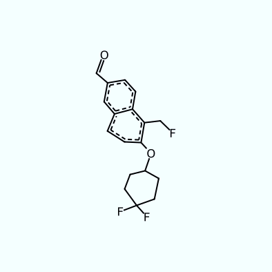 O=Cc1ccc2c(CF)c(OC3CCC(F)(F)CC3)ccc2c1